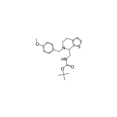 COc1ccc(CN2CCc3ccsc3C2CNC(=O)OC(C)(C)C)cc1